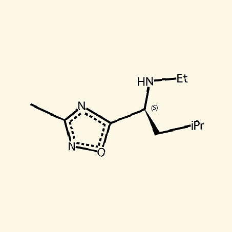 CCN[C@@H](CC(C)C)c1nc(C)no1